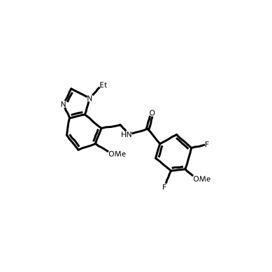 CCn1cnc2ccc(OC)c(CNC(=O)c3cc(F)c(OC)c(F)c3)c21